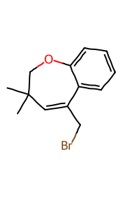 CC1(C)C=C(CBr)c2ccccc2OC1